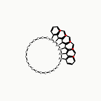 c1ccc([As]2CCCCCCCCCCCCCCCCCC[As](c3ccccc3)[As](c3ccccc3)[As](c3ccccc3)[As](c3ccccc3)[As]2c2ccccc2)cc1